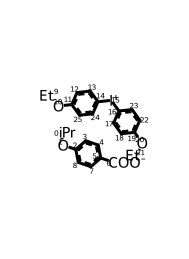 CC(C)Oc1ccc(C(=O)[O-])cc1.CCOc1ccc([I+]c2ccc(OCC)cc2)cc1